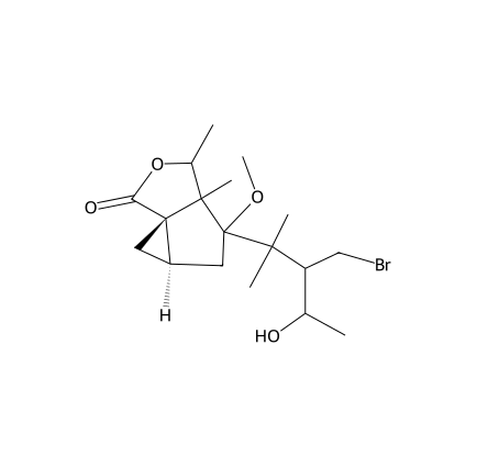 COC1(C(C)(C)C(CBr)C(C)O)C[C@H]2C[C@]23C(=O)OC(C)C13C